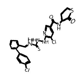 O=C(NC1CCSC1=O)c1cnc(NNC(=S)NCc2ccccc2-c2ccc(Cl)cc2)c(Cl)c1